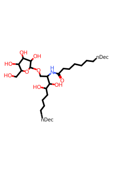 CCCCCCCCCCCCCCCCC(=O)NC(COC1OC(CO)C(O)C(O)C1O)C(O)C(O)CCCCCCCCCCCCCC